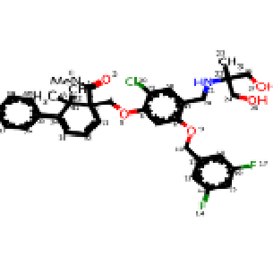 CNC(=O)C1(COc2cc(OCc3cc(F)cc(F)c3)c(CNC(C)(CO)CO)cc2Cl)C=CC=C(c2ccccc2)C1(C)C